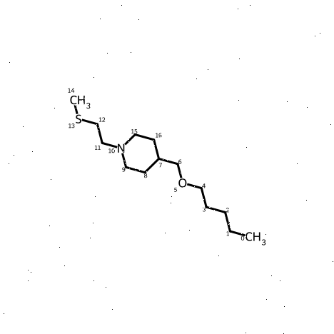 CCCCCOCC1CCN(CCSC)CC1